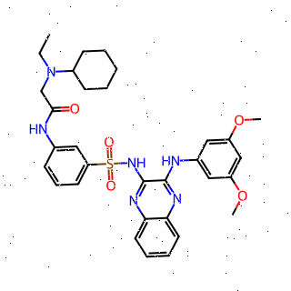 CCN(CC(=O)Nc1cccc(S(=O)(=O)Nc2nc3ccccc3nc2Nc2cc(OC)cc(OC)c2)c1)C1CCCCC1